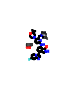 CN(C)Cc1nc(Nc2ccc(-c3cnc4cc(F)ccn34)c3c2C(=O)NC3)ccc1N1CCOC2(CC2)C1.O=CO